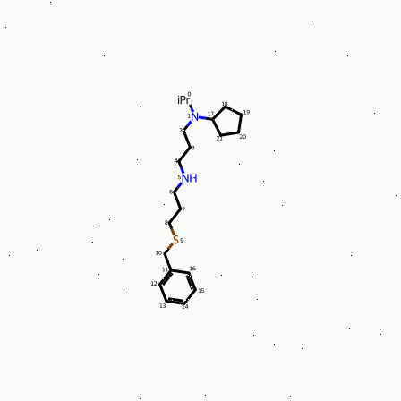 CC(C)N(CCCNCCCSCc1ccccc1)C1CCCC1